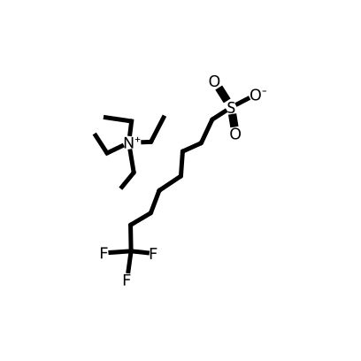 CC[N+](CC)(CC)CC.O=S(=O)([O-])CCCCCCCC(F)(F)F